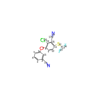 N#Cc1cccc(Oc2ccc(SC(F)F)c(C#N)c2Cl)c1